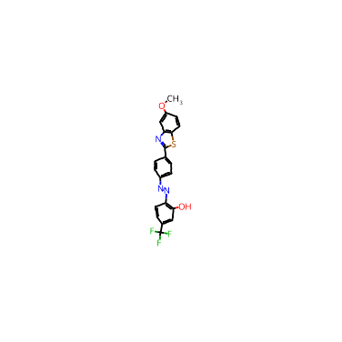 COc1ccc2sc(-c3ccc(/N=N/c4ccc(C(F)(F)F)cc4O)cc3)nc2c1